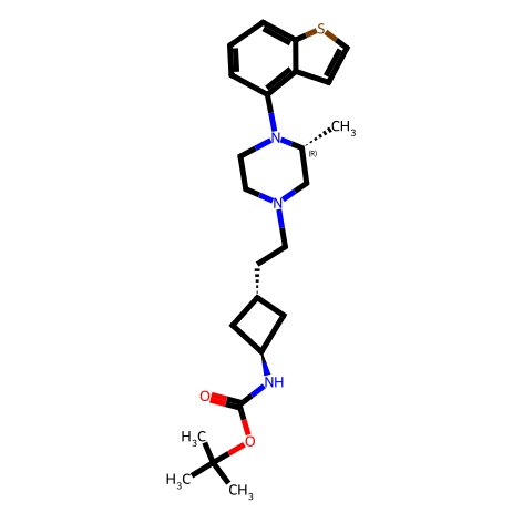 C[C@@H]1CN(CC[C@H]2C[C@H](NC(=O)OC(C)(C)C)C2)CCN1c1cccc2sccc12